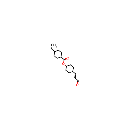 CCC1CCC(C(=O)OC2CCC(/C=C/C=O)CC2)CC1